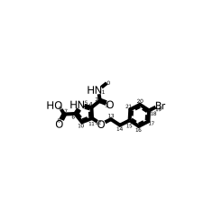 CNC(=O)c1[nH]c(C(=O)O)cc1OCCc1ccc(Br)cc1